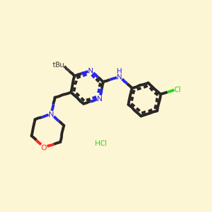 CC(C)(C)c1nc(Nc2cccc(Cl)c2)ncc1CN1CCOCC1.Cl